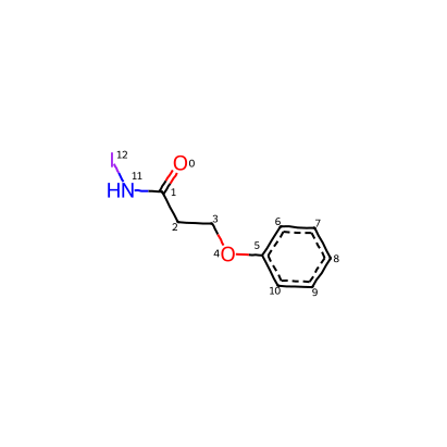 O=C(CCOc1ccccc1)NI